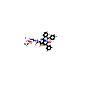 CN(CCNC(=O)c1nc(-c2ccccc2)c2c(cc(-c3ccccc3)c(=O)n2Cc2ccccc2)c1O)S(C)(=O)=O